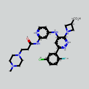 CN1CCN(CCC(=O)Nc2cc(Nc3cc(-c4cc(Cl)ccc4F)nnc3N3CC(C(=O)O)C3)ccn2)CC1